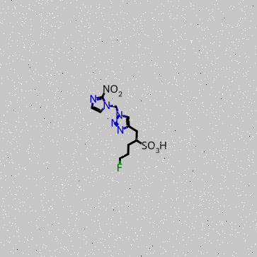 O=[N+]([O-])c1nccn1Cn1cc(CC(CCCF)S(=O)(=O)O)nn1